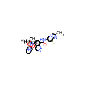 Cc1cn2cc(NC(=O)c3ccc(N(C)C4CC5CCC(C4)N5C(=O)OC(C)(C)C)c4ccnnc34)cc(F)c2n1